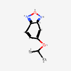 CCC(CC)Oc1ccc2nonc2c1